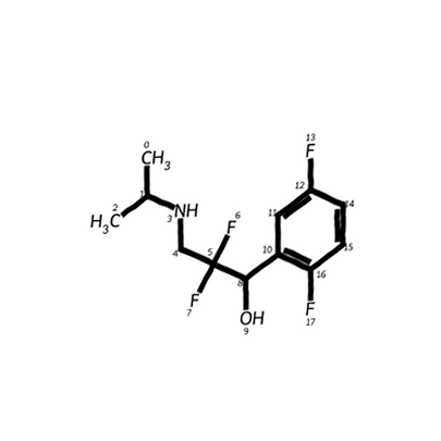 CC(C)NCC(F)(F)C(O)c1cc(F)ccc1F